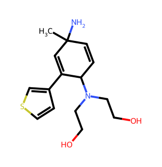 CC1(N)C=CC(N(CCO)CCO)C(c2ccsc2)=C1